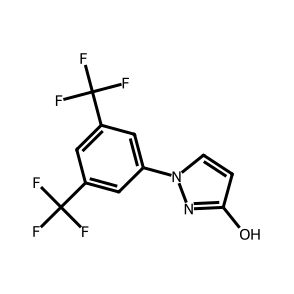 Oc1ccn(-c2cc(C(F)(F)F)cc(C(F)(F)F)c2)n1